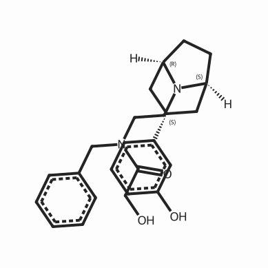 O=C(CO)N(CCN1[C@@H]2CC[C@H]1C[C@H](c1cccc(O)c1)C2)Cc1ccccc1